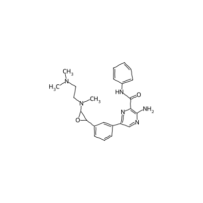 CN(C)CCN(C)C1OC1c1cccc(-c2cnc(N)c(C(=O)Nc3ccccc3)n2)c1